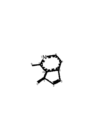 C=C1C=Cc2ccnc(C)c21